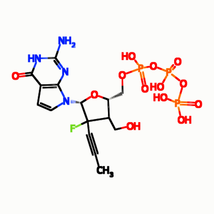 CC#CC1(F)C(CO)[C@@H](COP(=O)(O)OP(=O)(O)OP(=O)(O)O)O[C@H]1n1ccc2c(=O)[nH]c(N)nc21